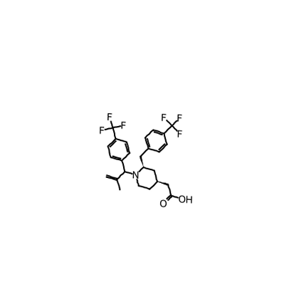 C=C(C)C(c1ccc(C(F)(F)F)cc1)N1CC[C@H](CC(=O)O)C[C@@H]1Cc1ccc(C(F)(F)F)cc1